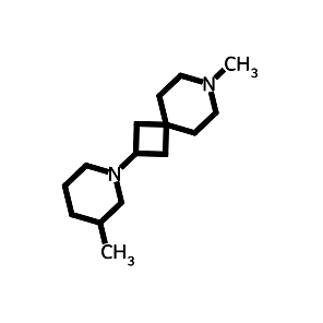 CC1CCCN(C2CC3(CCN(C)CC3)C2)C1